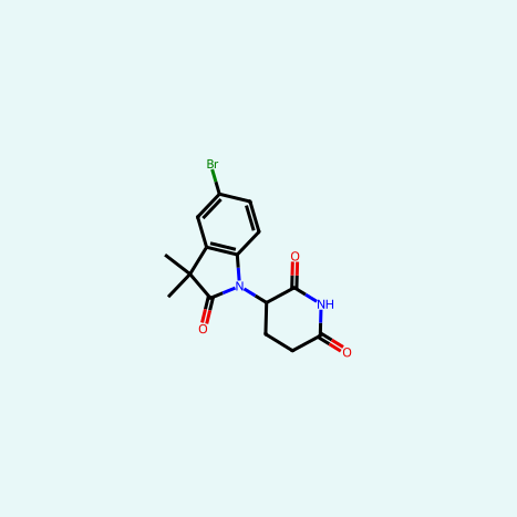 CC1(C)C(=O)N(C2CCC(=O)NC2=O)c2ccc(Br)cc21